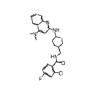 CN(C)c1cc(NC2CCC(CNC(=O)c3ccc(F)cc3Cl)CC2)nc2ccccc12